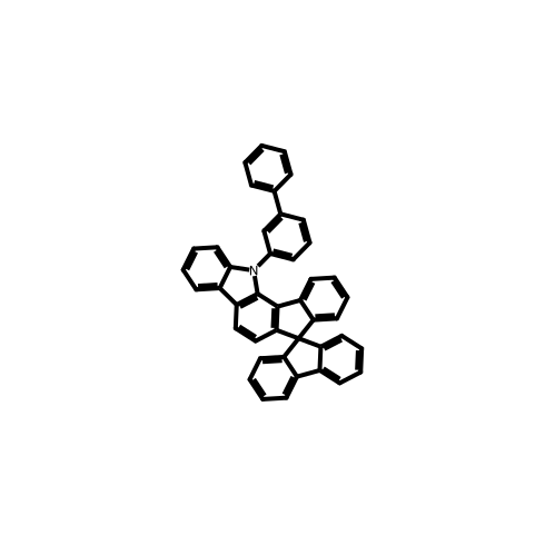 c1ccc(-c2cccc(-n3c4ccccc4c4ccc5c(c43)-c3ccccc3C53c4ccccc4-c4ccccc43)c2)cc1